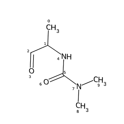 CC(C=O)NC(=O)N(C)C